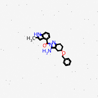 Cc1cc2c(C(=O)n3nc4c(c3N)CC(OCc3ccccc3)CC4)cccc2[nH]1